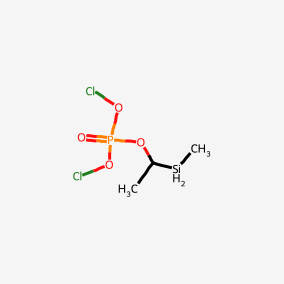 C[SiH2]C(C)OP(=O)(OCl)OCl